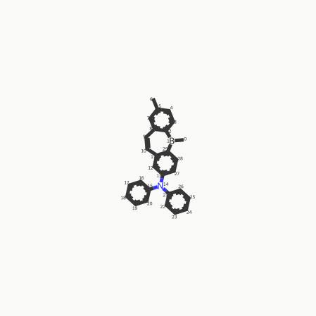 CB1c2ccc(C)cc2C=Cc2cc(N(c3ccccc3)c3ccccc3)ccc21